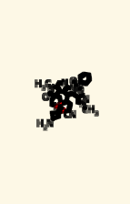 CN1C(=O)C2(CCN(C3(CC#N)CC(N)C3)CC2)c2c1cnc1c2c(-c2ccccc2)c(-c2cnn(C)c2)n1S(=O)(=O)c1ccccc1